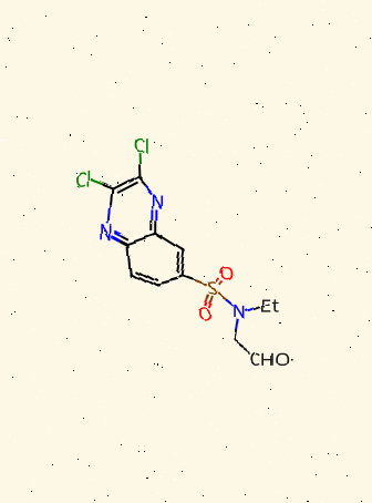 CCN(C[C]=O)S(=O)(=O)c1ccc2nc(Cl)c(Cl)nc2c1